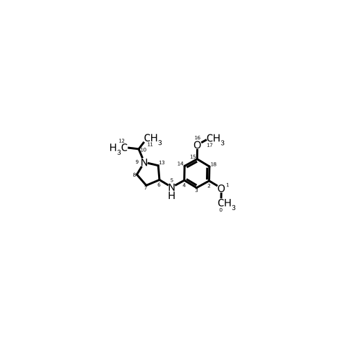 COc1cc(NC2CCN(C(C)C)C2)cc(OC)c1